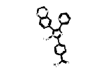 Cn1c(-c2ccc(C(N)=O)cc2)nc(-c2ccccn2)c1-c1ccc2c(c1)OCCO2